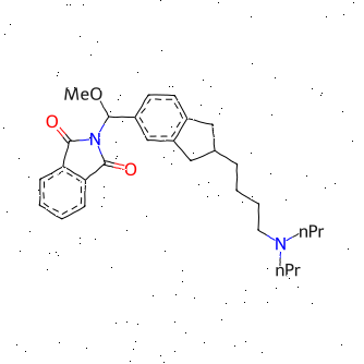 CCCN(CCC)CCCCC1Cc2ccc(C(OC)N3C(=O)c4ccccc4C3=O)cc2C1